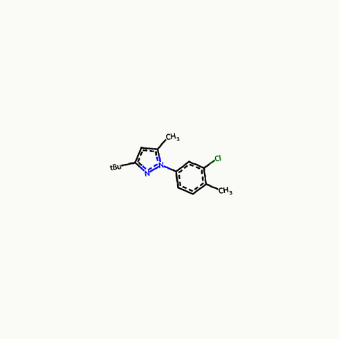 Cc1ccc(-n2nc(C(C)(C)C)cc2C)cc1Cl